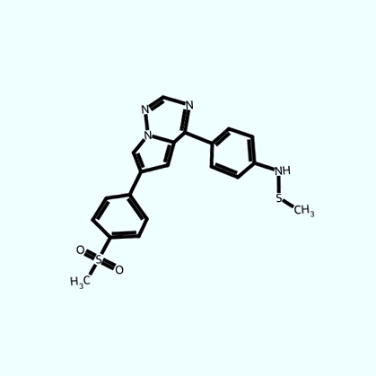 CSNc1ccc(-c2ncnn3cc(-c4ccc(S(C)(=O)=O)cc4)cc23)cc1